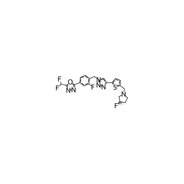 Fc1cc(-c2nnc(C(F)F)o2)ccc1Cn1cc(-c2ccc(CN3CC[C@@H](F)C3)s2)nn1